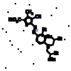 CCCCC(CC)CN(CC(CC)CCCC)c1ccc(/N=N/c2sc(C(=O)OCC)c(C)c2C#N)c(CC)c1